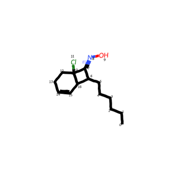 CCCCCCC1/C(=N\O)C2(Cl)CCC=CC12